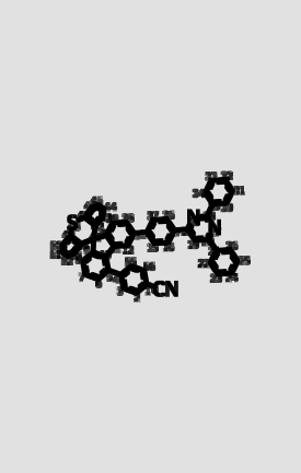 N#Cc1ccc(-c2cccc3c2-c2cc(-c4ccc(-c5cc(-c6ccccc6)nc(-c6ccccc6)n5)cc4)ccc2C32c3ccccc3Sc3ccccc32)cc1